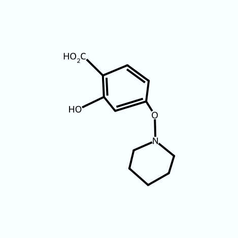 O=C(O)c1ccc(ON2CCCCC2)cc1O